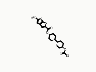 CCCc1cc2cc(C(=O)O[C@H]3CC[C@H]([C@H]4CC[C@H](OC(=O)CC)CC4)CC3)sc2s1